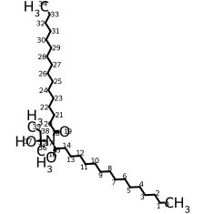 CCCCCCCCCCCCCCCC(=O)N(C(=O)CCCCCCCCCCCCCCC)C(C)(O)CC